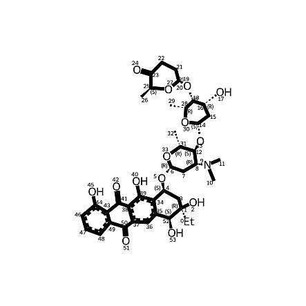 CC[C@@]1(O)C[C@H](O[C@H]2C[C@@H](N(C)C)[C@H](O[C@H]3C[C@@H](O)[C@@H](O[C@H]4CCC(=O)[C@H](C)O4)[C@@H](C)O3)[C@@H](C)O2)c2c(cc3c(c2O)C(=O)c2c(O)cccc2C3=O)[C@@H]1O